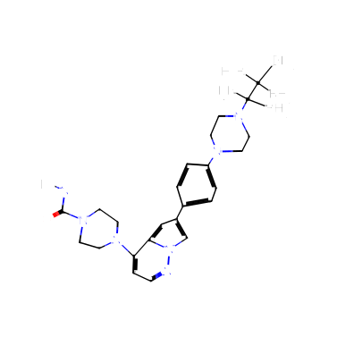 BC(B)(B)C(B)(B)N1CCN(c2ccc(-c3cc4c(N5CCN(C(=O)NCC)CC5)ccnn4c3)cc2)CC1